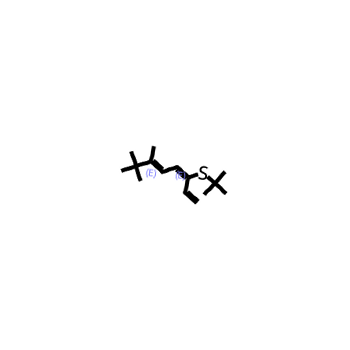 C=C/C(=C\C=C(/C)C(C)(C)C)SC(C)(C)C